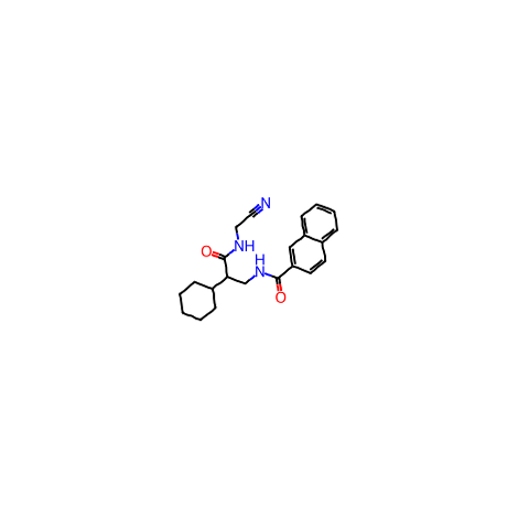 N#CCNC(=O)C(CNC(=O)c1ccc2ccccc2c1)C1CCCCC1